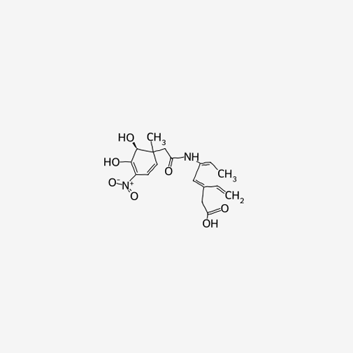 C=C/C(=C\C(=C/C)NC(=O)CC1(C)C=CC([N+](=O)[O-])=C(O)[C@H]1O)CC(=O)O